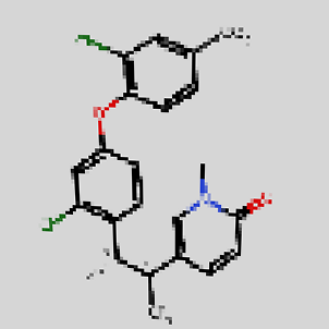 C[C@H](c1ccc(Oc2ccc(C(=O)O)cc2Cl)cc1Cl)[C@@H](c1ccc(=O)n(C)c1)C(F)(F)F